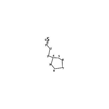 S=CCCC1CCCCC1